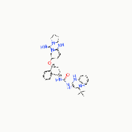 Cc1ccc(N/C(=C\C(=N)C(C)(C)C)NC(=O)N[C@H]2CC[C@@H](Oc3ccc(=N)n(C(=N)N4CCCC4)c3)c3ccccc32)cc1